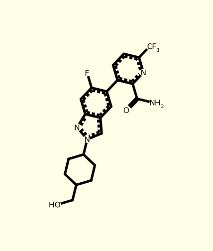 NC(=O)c1nc(C(F)(F)F)ccc1-c1cc2cn(C3CCC(CO)CC3)nc2cc1F